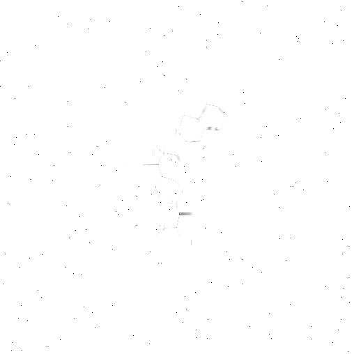 CC(N)C(=O)N1CCC(C(C)NC(=O)[C@H]2Cc3ccccc3CN2)CC1